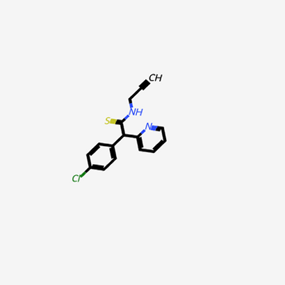 C#CCNC(=S)C(c1ccc(Cl)cc1)c1ccccn1